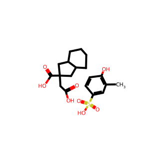 Cc1cc(S(=O)(=O)O)ccc1O.O=C(O)CC1(C(=O)O)CC2CCCCC2C1